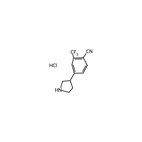 Cl.N#Cc1ccc(C2CCNC2)cc1C(F)(F)F